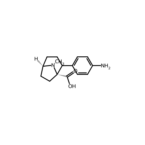 CN1[C@@H]2CCC(c3ccc(N)cc3)[C@@]1(C(=O)O)CC2